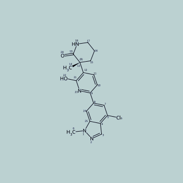 Cn1ncc2c(Cl)cc(-c3ccc([C@@]4(C)CCCNC4=O)c(O)n3)cc21